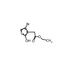 CCOC(=O)Cc1c(Br)csc1O